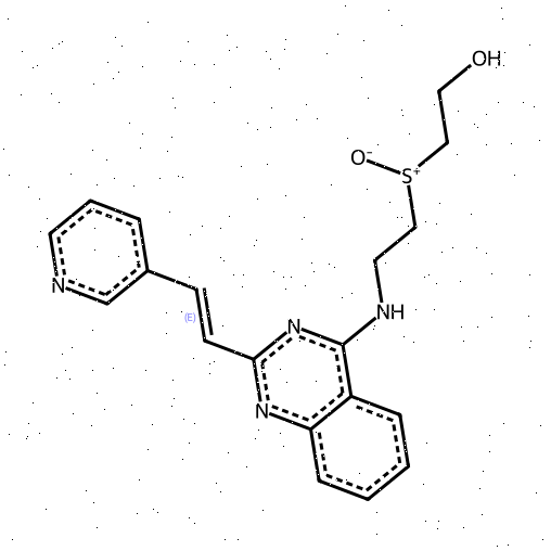 [O-][S+](CCO)CCNc1nc(/C=C/c2cccnc2)nc2ccccc12